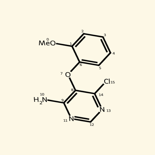 COc1ccccc1Oc1c(N)ncnc1Cl